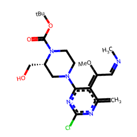 C=c1nc(Cl)nc(N2CCN(C(=O)OC(C)(C)C)[C@@H](CO)C2)/c1=C(/C=N\C)OC